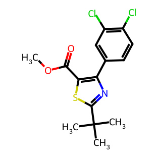 COC(=O)c1sc(C(C)(C)C)nc1-c1ccc(Cl)c(Cl)c1